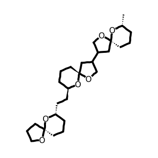 C[C@@H]1CCC[C@@]2(CC(C3CO[C@@]4(CCC[C@H](CC[C@@H]5CCC[C@]6(CCCO6)O5)O4)C3)CO2)O1